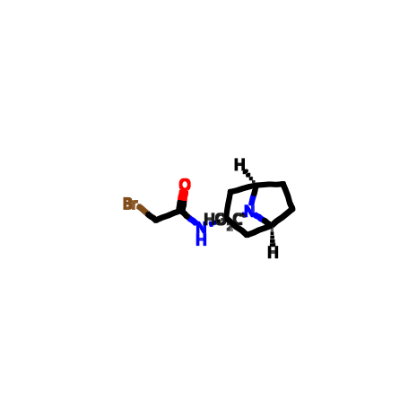 O=C(CBr)N[C@@H]1C[C@H]2CC[C@@H](C1)N2C(=O)O